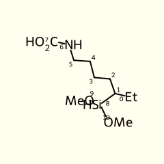 CCC(CCCCNC(=O)O)[SiH](OC)OC